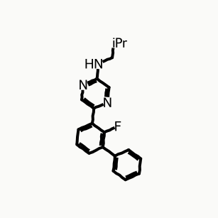 CC(C)CNc1cnc(-c2cccc(-c3ccccc3)c2F)cn1